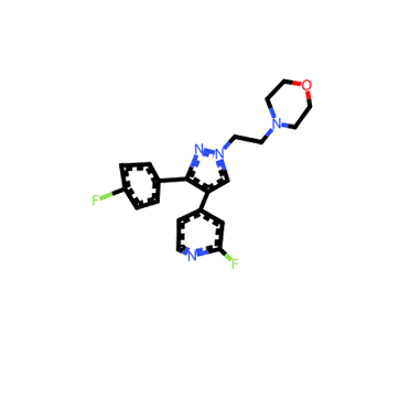 Fc1ccc(-c2nn(CCN3CCOCC3)cc2-c2ccnc(F)c2)cc1